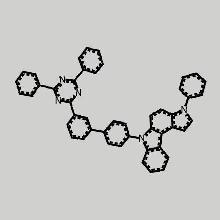 c1ccc(-c2nc(-c3ccccc3)nc(-c3cccc(-c4ccc(-n5c6ccccc6c6c7ccn(-c8ccccc8)c7ccc65)cc4)c3)n2)cc1